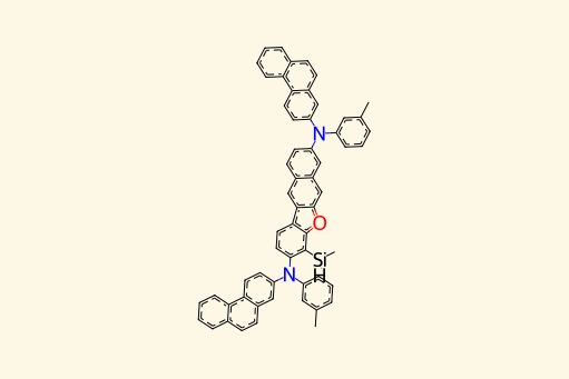 Cc1cccc(N(c2ccc3cc4c(cc3c2)oc2c([SiH](C)C)c(N(c3cccc(C)c3)c3ccc5c(ccc6ccccc65)c3)ccc24)c2ccc3c(ccc4ccccc43)c2)c1